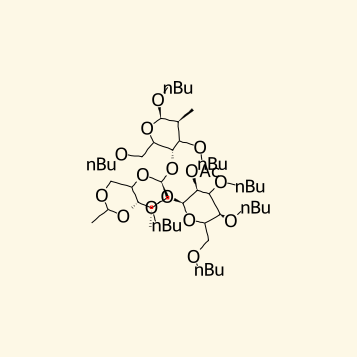 CCCCOCC1O[C@@H](OCCCC)[C@@H](C)C(OCCCC)[C@@H]1O[C@@H](COCCCC)OC1COC(C)O[C@H]1[C@@H](C)O[C@@H]1OC(COCCCC)[C@H](OCCCC)C(OCCCC)[C@@H]1OC(C)=O